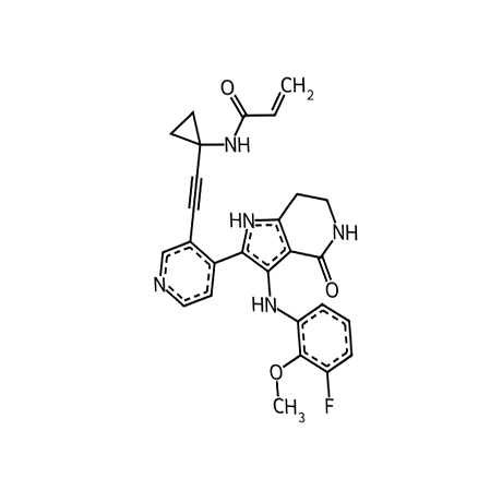 C=CC(=O)NC1(C#Cc2cnccc2-c2[nH]c3c(c2Nc2cccc(F)c2OC)C(=O)NCC3)CC1